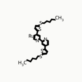 CCCCCCSc1ccc(-c2ccnc(-c3cc(-c4ccc(SCCCCCC)s4)ccn3)c2)s1.[Ru]